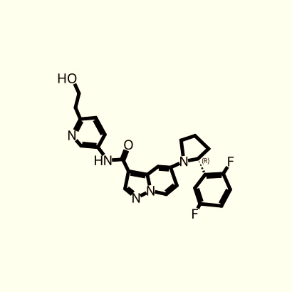 O=C(Nc1ccc(CCO)nc1)c1cnn2ccc(N3CCC[C@@H]3c3cc(F)ccc3F)cc12